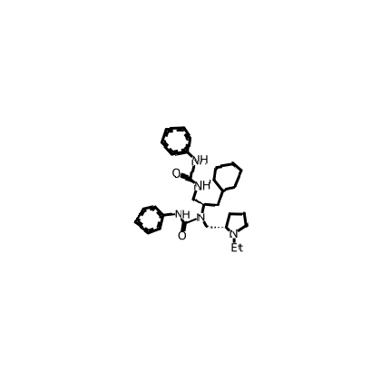 CCN1CCC[C@H]1CN(C(=O)Nc1ccccc1)[C@@H](CNC(=O)Nc1ccccc1)CC1CCCCC1